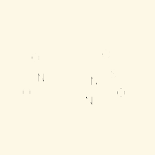 CS(=O)(=O)n1cc([N+](=O)[O-])cn1